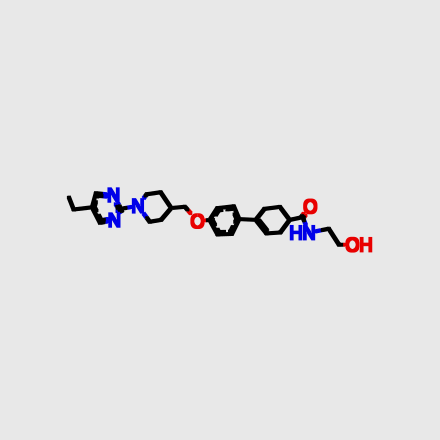 CCc1cnc(N2CCC(COc3ccc(C4=CCC(C(=O)NCCO)CC4)cc3)CC2)nc1